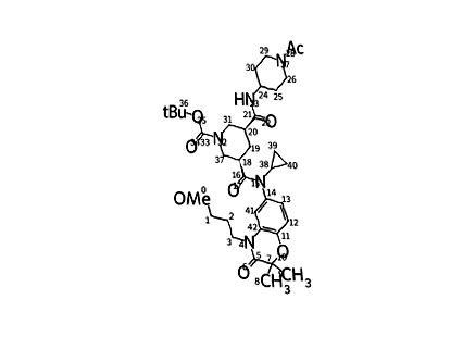 COCCCN1C(=O)C(C)(C)Oc2ccc(N(C(=O)[C@@H]3C[C@H](C(=O)NC4CCN(C(C)=O)CC4)CN(C(=O)OC(C)(C)C)C3)C3CC3)cc21